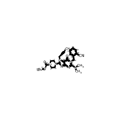 CC#CCn1c(N2CCN(C(=O)OC(C)(C)C)CC2)nc2nc(N(C)C)n(Cc3ccccc3C#N)c(=O)c21